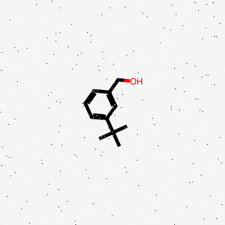 CC(C)(C)c1c[c]cc(CO)c1